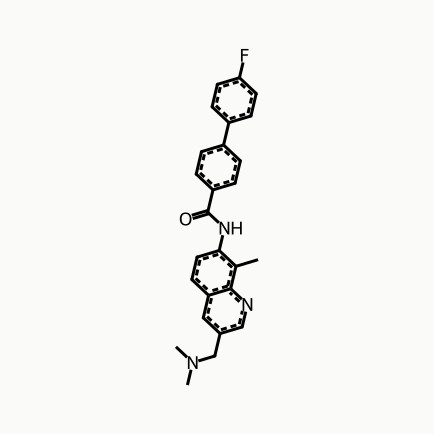 Cc1c(NC(=O)c2ccc(-c3ccc(F)cc3)cc2)ccc2cc(CN(C)C)cnc12